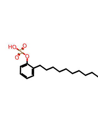 CCCCCCCCCCc1ccccc1OS(=O)(=O)O